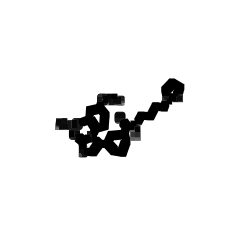 COc1ccc(-n2c(-c3cccc(C(=O)NCCCCn4cccn4)c3)csc2=O)c(OC)c1